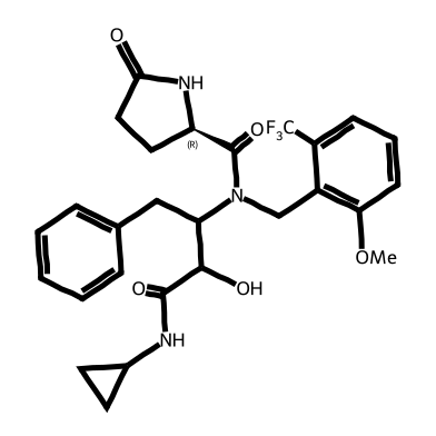 COc1cccc(C(F)(F)F)c1CN(C(=O)[C@H]1CCC(=O)N1)C(Cc1ccccc1)C(O)C(=O)NC1CC1